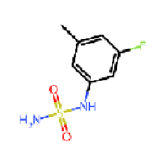 Cc1cc(F)cc(NS(N)(=O)=O)c1